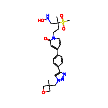 CC1(Cn2cc(-c3ccc(-c4ccn(CCC(C)(CNO)S(C)(=O)=O)c(=O)c4)cc3)nn2)COC1